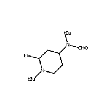 CCC1CC(N(C=O)C(C)(C)C)CCN1C(C)(C)C